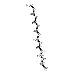 CONONONONONONONO